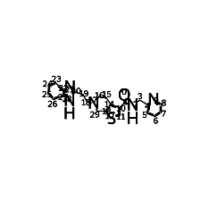 O=C(NCc1ccccn1)c1csc2c1CCN(CCc1nc3ccccc3[nH]1)C2